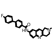 CN1CCc2nc3ccc(NC(=O)c4ccc(-c5ccc(F)cc5)cc4)cc3cc2C1